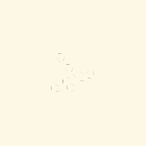 c1ccc(-c2ccc3c(c2)c2cc(-c4ccccn4)c4ccccc4c2n3-c2ccc3ccccc3n2)nc1